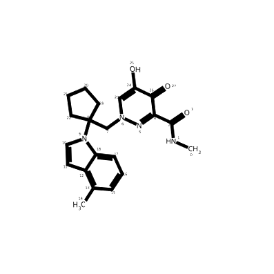 CNC(=O)c1nn(CC2(n3ccc4c(C)cccc43)CCCC2)cc(O)c1=O